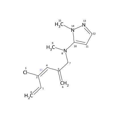 C=C/C(Cl)=C\C(=C)CN(C)c1ccnn1C